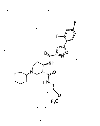 O=C(N[C@@H]1CCN(C2CCCCC2)C[C@H]1C(=O)NCCOC(F)(F)F)c1cc(-c2ccc(F)cc2F)on1